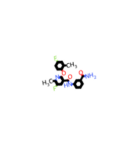 Cc1cc(F)ccc1Oc1nc(C)c(F)cc1C(=O)Nc1cccc(C(N)=O)c1